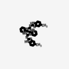 Cc1ccc2[nH]c(N=C3NC4(c5ccccn5)NC(=Nc5nc6cc(C)ccc6[nH]5)NC4(c4ccccn4)N3)nc2c1